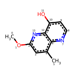 COc1cc(C)c2nccc(O)c2n1